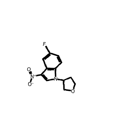 O=[N+]([O-])c1cn(C2CCOC2)c2ccc(F)cc12